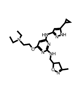 CCN(CC)CCOc1cc(Nc2cc(C3CC3)[nH]n2)nc(NCC2CC(C)=NO2)n1